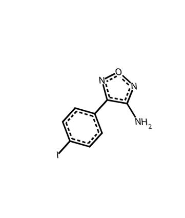 Nc1nonc1-c1ccc(I)cc1